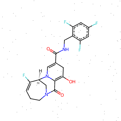 O=C(NCc1c(F)cc(F)cc1F)C1=CN2C(=C(O)C1)C(=O)N1CCC=C(F)[C@@H]2C1